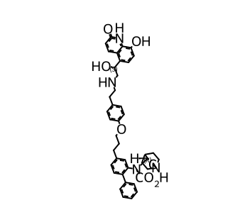 O=C(O)N(c1cc(CCCOc2ccc(CCNC[C@@H](O)c3ccc(O)c4[nH]c(=O)ccc34)cc2)ccc1-c1ccccc1)[C@H]1CN2CCC1CC2